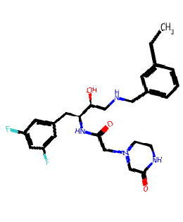 CCc1cccc(CNC[C@H](O)[C@H](Cc2cc(F)cc(F)c2)NC(=O)CN2CCNC(=O)C2)c1